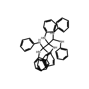 c1ccc(N[C](Nc2ccccc2)C(Nc2ccccc2)(Nc2ccccc2)C(Nc2ccccc2)(Nc2ccccc2)Nc2ccccc2)cc1